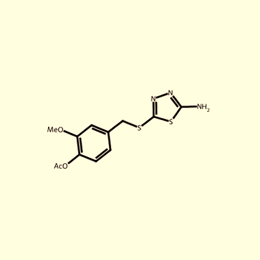 COc1cc(CSc2nnc(N)s2)ccc1OC(C)=O